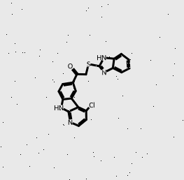 O=C(CSc1nc2ccccc2[nH]1)c1ccc2[nH]c3nccc(Cl)c3c2c1